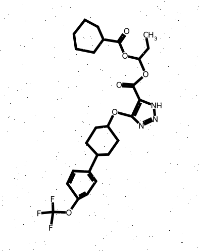 CCC(OC(=O)c1[nH]nnc1OC1CCC(c2ccc(OC(F)(F)F)cc2)CC1)OC(=O)C1CCCCC1